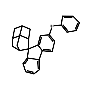 c1ccc(Nc2ccc3c(c2)C2(c4ccccc4-3)C3CC4CC(C3)CC2C4)cc1